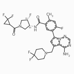 Cc1cc(F)c(-c2cc(CN3CCC(F)(F)CC3)c3c(N)ncnn23)cc1C(=O)N[C@@H]1CN(C(=O)C2CC2(F)F)C[C@@H]1F